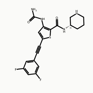 NC(=O)Nc1cc(C#Cc2cc(F)cc(F)c2)sc1C(=O)N[C@H]1CCCNC1